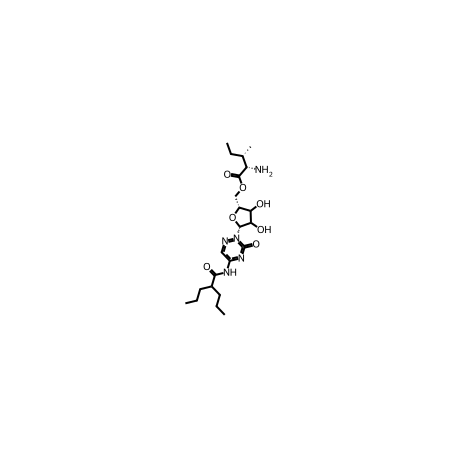 CCCC(CCC)C(=O)Nc1cnn([C@@H]2O[C@H](COC(=O)[C@@H](N)[C@@H](C)CC)C(O)C2O)c(=O)n1